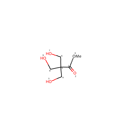 COC(=O)C(CO)(CO)CO